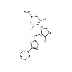 COc1cc(F)c([C@@H]2CNC(=O)[C@H]2Nc2nnc(-c3cccnc3)o2)c(F)c1